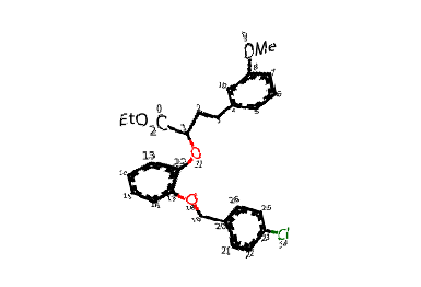 CCOC(=O)C(CCc1cccc(OC)c1)Oc1ccccc1OCc1ccc(Cl)cc1